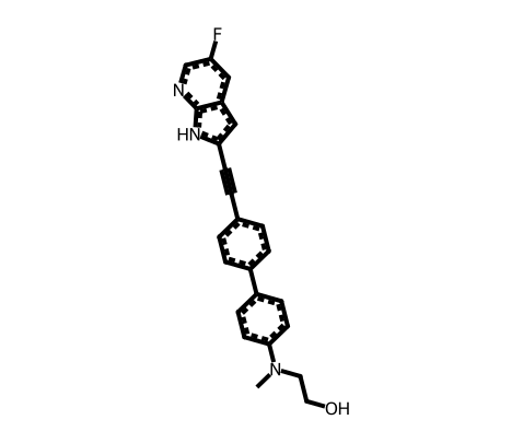 CN(CCO)c1ccc(-c2ccc(C#Cc3cc4cc(F)cnc4[nH]3)cc2)cc1